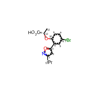 CC(C)c1cc(-c2cc(Br)ccc2O[C@@H](C)C(=O)O)on1